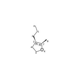 CCC[C@@H]1CCO[C@@H]1C